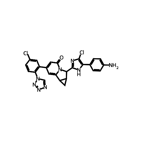 Nc1ccc(-c2[nH]c(C3C4CC4c4cc(-c5cc(Cl)ccc5-n5cnnn5)cc(=O)n43)nc2Cl)cc1